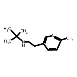 Cc1ccc(CCNC(C)(C)C)cn1